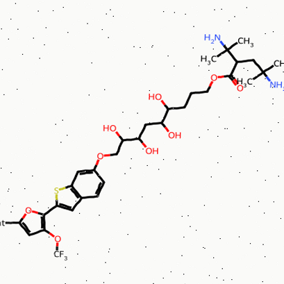 CCCCCc1cc(OC(F)(F)F)c(-c2cc3ccc(OCC(O)C(O)CC(O)C(O)CCCOC(=O)C(CC(C)(C)N)C(C)(C)N)cc3s2)o1